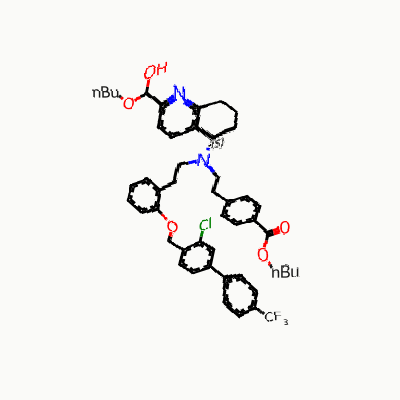 CCCCOC(=O)c1ccc(CCN(CCc2ccccc2OCc2ccc(-c3ccc(C(F)(F)F)cc3)cc2Cl)[C@H]2CCCc3nc(C(O)OCCCC)ccc32)cc1